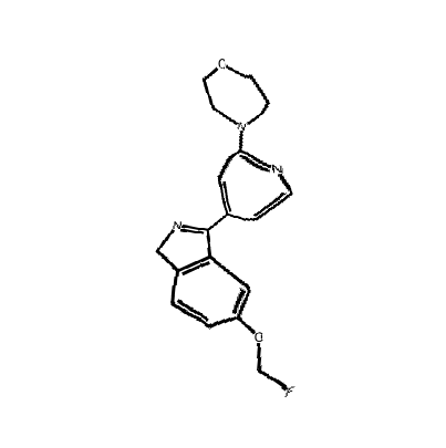 FCOc1ccc2c(c1)C(c1ccnc(N3CCOCC3)c1)=NC2